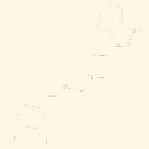 O=C(NCCc1ccc(Cl)c(Cl)c1)N1CC=C(c2c[nH]c3ncccc23)CC1